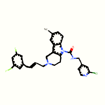 N#Cc1ccc2c(c1)c1c(n2C(=O)NCc2ccnc(Cl)c2)CCN(CC=Cc2cc(F)cc(F)c2)C1